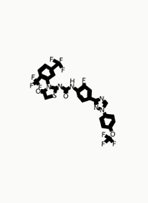 O=C(/N=C1\SCC(=O)N1c1cc(C(F)(F)F)ccc1C(F)(F)F)Nc1ccc(-c2ncn(-c3ccc(OC(F)(F)F)cc3)n2)cc1F